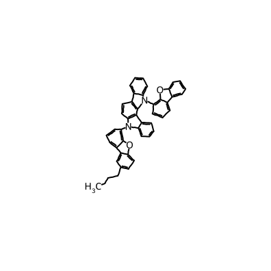 CCCCc1ccc2oc3c(-n4c5ccccc5c5c4ccc4c6ccccc6n(-c6cccc7c6oc6ccccc67)c45)cccc3c2c1